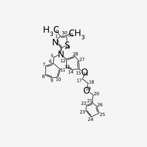 Cc1nc(N(Cc2ccccc2)c2ccc(OCCOCc3ccccc3)cc2)sc1C